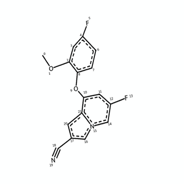 COc1cc(F)ccc1Oc1cc(F)cn2cc(C#N)cc12